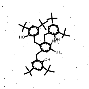 CC(C)(C)c1cc(Cc2cc(N)c(N)c(Cc3cc(C(C)(C)C)cc(C(C)(C)C)c3O)c2Cc2cc(C(C)(C)C)cc(C(C)(C)C)c2O)c(O)c(C(C)(C)C)c1